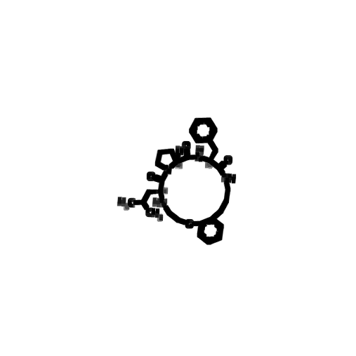 CC(C)C[C@@H]1NCCOc2ccccc2CCCNC(=O)[C@H](Cc2ccccc2)NC(=O)[C@H]2CCCN2C1=O